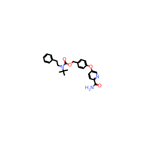 CC(C)(C)N(CCc1ccccc1)C(=O)OCc1ccc(Oc2ccc(C(N)=O)nc2)cc1